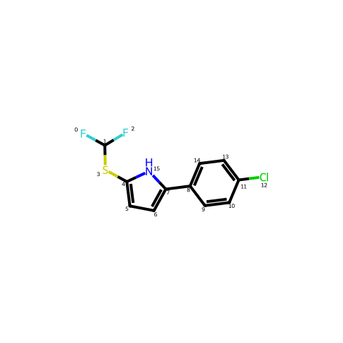 FC(F)Sc1ccc(-c2ccc(Cl)cc2)[nH]1